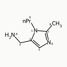 CCCn1c(CN)cnc1C